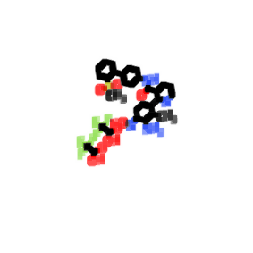 CC1=C(N)C(=NO)CC=C1c1ncccc1C(=O)Nc1ccc(-c2ccccc2S(C)(=O)=O)cc1.O=C(O)C(F)(F)F.O=C(O)C(F)(F)F